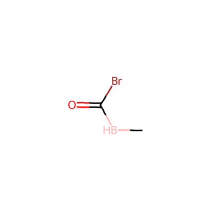 CBC(=O)Br